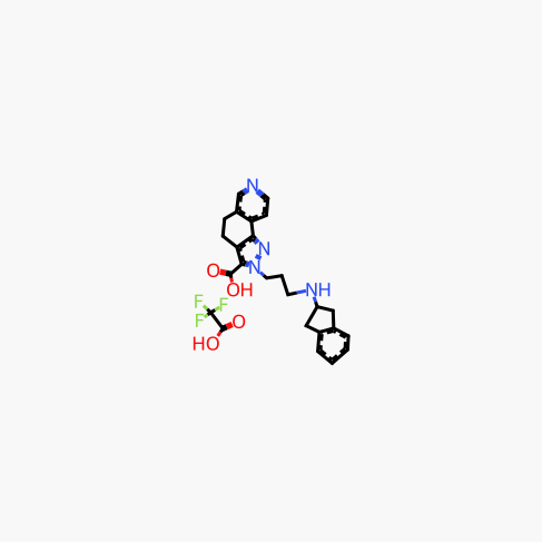 O=C(O)C(F)(F)F.O=C(O)c1c2c(nn1CCCNC1Cc3ccccc3C1)-c1ccncc1CC2